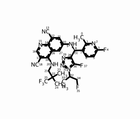 Cc1nc(F)ccc1[C@H](Nc1cc(C#N)c2ncc(C#N)c(NCC(C)(C)C(F)(F)F)c2c1)c1nnn(C(C)CF)c1F